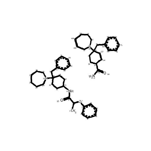 CC(Oc1ccccc1)C(=O)NC1CCC(Cc2ccccc2)(N2CCCCCC2)CC1.NC(=O)C1CCC(Cc2ccccc2)(N2CCCCCC2)CC1